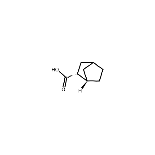 O=C(O)[C@@H]1CC2CC[C@H]1C2